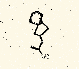 CC(C=O)CC1Cc2ccccc2C1